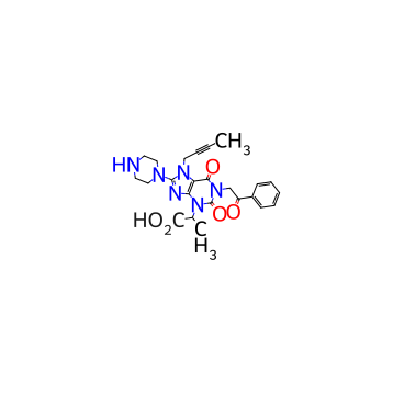 CC#CCn1c(N2CCNCC2)nc2c1c(=O)n(CC(=O)c1ccccc1)c(=O)n2C(C)C(=O)O